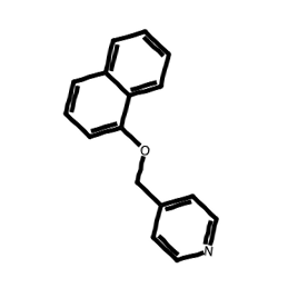 c1ccc2c(OCc3ccncc3)cccc2c1